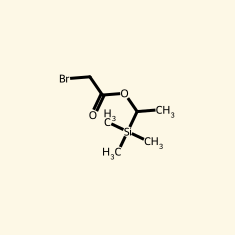 CC(OC(=O)CBr)[Si](C)(C)C